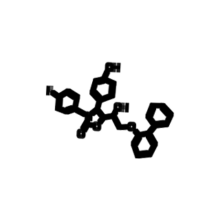 O=C1OC(C(O)COc2ccccc2-c2ccccc2)C(c2ccc(O)cc2)N1c1ccc(F)cc1